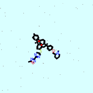 Cc1ccc(C(C)(C)c2ccc(Sc3cnc(-c4noc(C)n4)nc3)c(CC(C)(c3ccc(C)cc3)c3ccc(OCC4CCCCN4C)cc3)c2)cc1